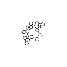 c1ccc2c(c1)oc1c(N(c3ccc(C4CCCCC4)cc3)c3cc4c5cc(N(c6ccc(C7CCCCC7)cc6)c6cccc7c6oc6ccccc67)c6ccccc6c5oc4c4ccccc34)cccc12